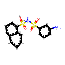 Nc1cccc(S(=O)(=O)NS(=O)(=O)c2cccc3ccccc23)c1